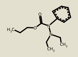 CCCOC(=O)N(c1c[c]ccc1)N(CC)CC